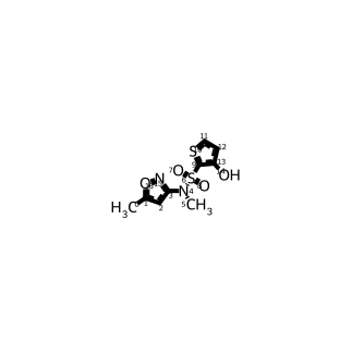 Cc1cc(N(C)S(=O)(=O)c2sccc2O)no1